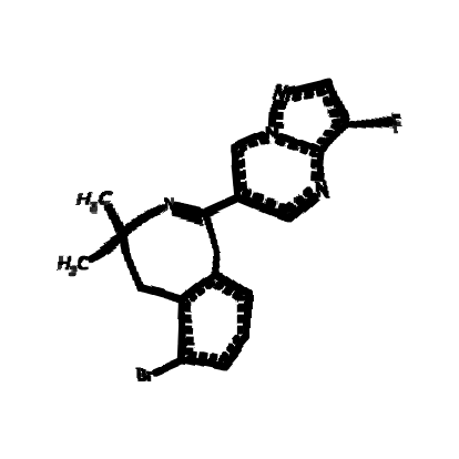 CC1(C)Cc2c(Br)cccc2C(c2cnc3c(F)cnn3c2)=N1